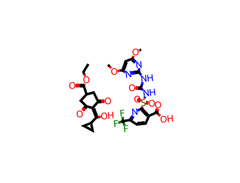 CCOC(=O)C1CC(=O)C(=C(O)C2CC2)C(=O)C1.COc1cc(OC)nc(NC(=O)NS(=O)(=O)c2nc(C(F)(F)F)ccc2C(=O)O)n1